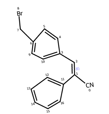 N#C/C(=C/c1ccc(CBr)cc1)c1ccccc1